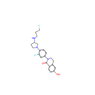 O=C1c2ccc(O)cc2CCN1c1ccc(N2CCC(NCCCF)C2)c(F)c1